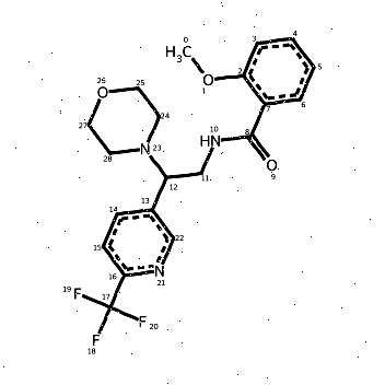 COc1ccccc1C(=O)NCC(c1ccc(C(F)(F)F)nc1)N1CCOCC1